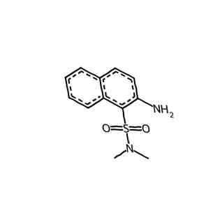 CN(C)S(=O)(=O)c1c(N)ccc2ccccc12